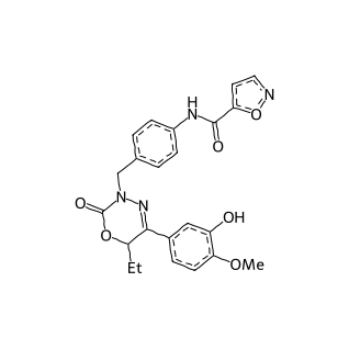 CCC1OC(=O)N(Cc2ccc(NC(=O)c3ccno3)cc2)N=C1c1ccc(OC)c(O)c1